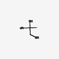 [CH2]CCC(C)(O)CO